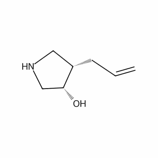 C=CC[C@H]1CNC[C@H]1O